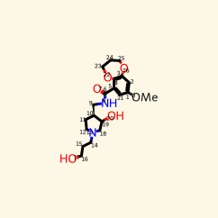 COc1cc2c(c(C(=O)NC[C@@H]3CCN(CCCO)CC3O)c1)OCCCO2